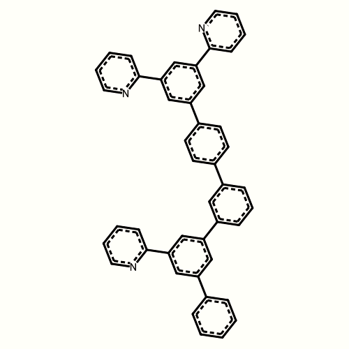 c1ccc(-c2cc(-c3cccc(-c4ccc(-c5cc(-c6ccccn6)cc(-c6ccccn6)c5)cc4)c3)cc(-c3ccccn3)c2)cc1